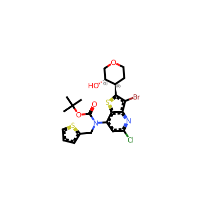 CC(C)(C)OC(=O)N(Cc1cccs1)c1cc(Cl)nc2c(Br)c([C@@H]3CCOC[C@H]3O)sc12